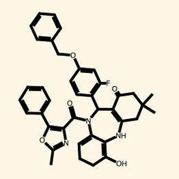 Cc1nc(C(=O)N2C3=CCCC(O)=C3NC3=C(C(=O)CC(C)(C)C3)C2c2ccc(OCc3ccccc3)cc2F)c(-c2ccccc2)o1